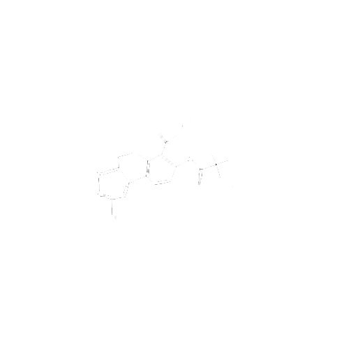 COC(=O)c1c(NC(=O)C(C)(C)C)ccc2c1OCc1nnc(O)cc1-2